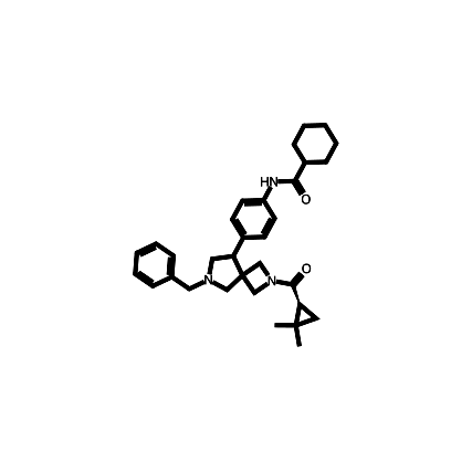 CC1(C)C[C@@H]1C(=O)N1CC2(CN(Cc3ccccc3)CC2c2ccc(NC(=O)C3CCCCC3)cc2)C1